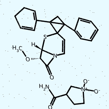 CO[C@H]1C(=O)N2C=CC3(S[C@@H]12)C1(C2=CCCC=C2)CC31c1ccccc1.NC(=O)C1CC[N+]([O-])([O-])C1